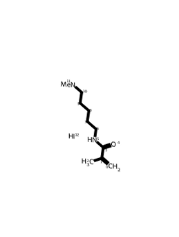 C=C(C)C(=O)NCCCCCNC.I